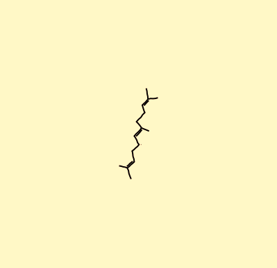 CC(C)=CC[CH]/C=C(\C)CCC=C(C)C